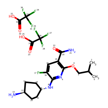 CC(C)COc1nc(N[C@H]2CC[C@H](N)CC2)c(F)cc1C(N)=O.O=C(O)C(F)(F)F.O=C(O)C(F)(F)F